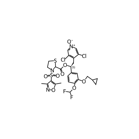 Cc1noc(C)c1S(=O)(=O)N1CCSC1C(=O)O[C@@H](Cc1c(Cl)c[n+]([O-])cc1Cl)c1ccc(OC(F)F)c(OCC2CC2)c1